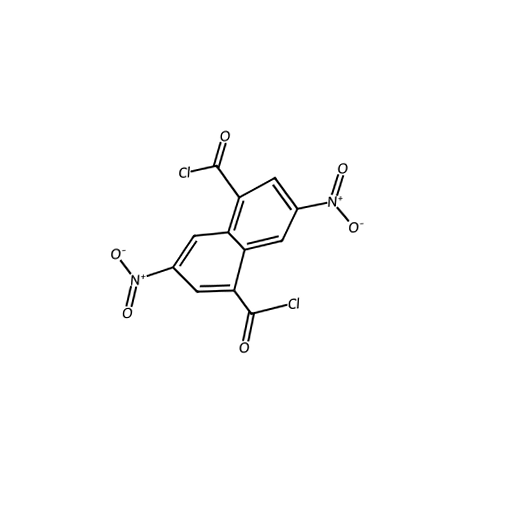 O=C(Cl)c1cc([N+](=O)[O-])cc2c(C(=O)Cl)cc([N+](=O)[O-])cc12